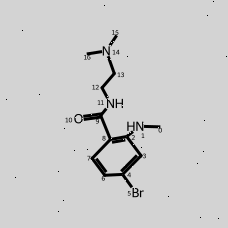 CNc1cc(Br)ccc1C(=O)NCCN(C)C